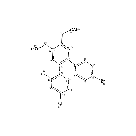 COCc1nc(-c2ccc(Br)cc2)c(-c2ccc(Cl)cc2Cl)cc1CO